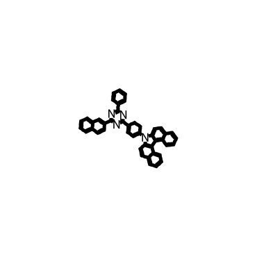 C1=C(c2nc(-c3ccccc3)nc(-c3ccc4ccccc4c3)n2)CCC(n2c3ccc4ccccc4c3c3c4ccccc4ccc32)=C1